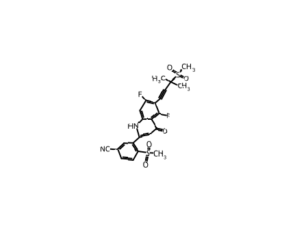 CC(C)(C#Cc1c(F)cc2[nH]c(-c3cc(C#N)ccc3S(C)(=O)=O)cc(=O)c2c1F)S(C)(=O)=O